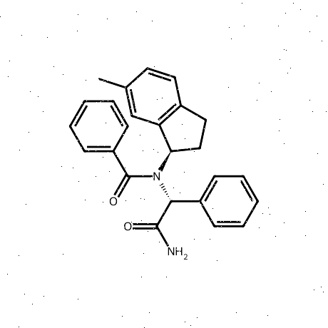 Cc1ccc2c(c1)[C@H](N(C(=O)c1ccccc1)[C@@H](C(N)=O)c1ccccc1)CC2